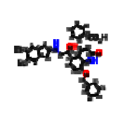 CCc1cc2c(cc1CC)CC(NCC(O)c1ccc(OCc3ccccc3)c3[nH]c(=O)ccc13)C2.O=C(O)c1ccccc1